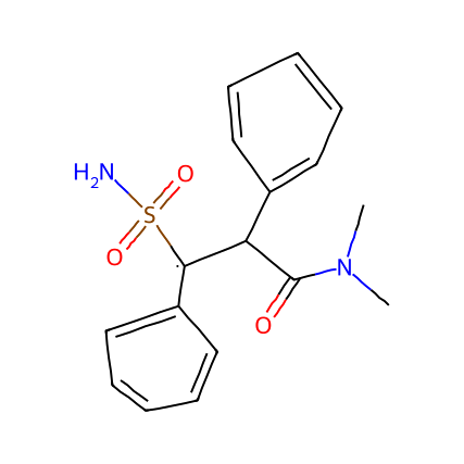 CN(C)C(=O)C([C](c1ccccc1)S(N)(=O)=O)c1ccccc1